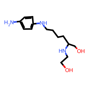 Nc1ccc(NCCCCC(CO)NCCO)cc1